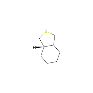 C1CC[C@@H]2CSCC2C1